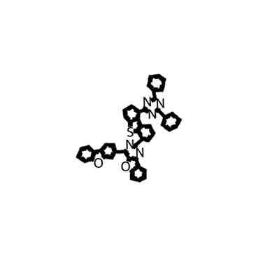 c1ccc(-c2nc(-c3ccccc3)nc(-c3cccc4sc5c(-c6nc(-c7ccc8c(c7)oc7ccccc78)c7oc8ccccc8c7n6)cccc5c34)n2)cc1